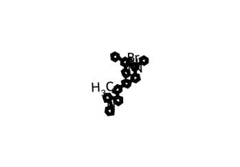 Cc1cc(-c2ccc(-c3cccc(-c4nc(-c5ccccc5)nc(-c5c(Br)cc(-c6ccccc6)cc5-c5ccccc5)n4)c3)cc2)cc(-c2cccc3c2c2ccccc2n3-c2ccccc2)c1